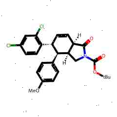 COc1ccc([C@@H]2[C@@H]3CN(C(=O)OC(C)(C)C)C(=O)[C@@H]3C=C[C@H]2c2ccc(Cl)cc2Cl)cc1